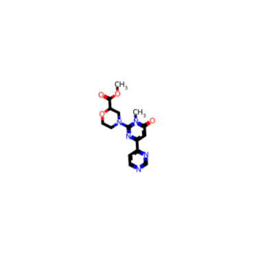 COC(=O)C1CN(c2nc(-c3ccncn3)cc(=O)n2C)CCO1